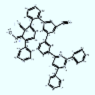 N#Cc1cc(-c2cccc(-c3cc(-c4ccccc4)nc(-c4ccccc4)n3)c2)cc(-c2ccccc2C2=CC=C(c3ccccc3)/C(=N/O)C2=N)c1